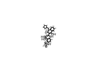 C[C@]1(CC2CCCC2)C(=O)C(C2=NS(O)(O)c3cc(NS(C)(=O)=O)ccc3N2)=C(O)c2ccccc21